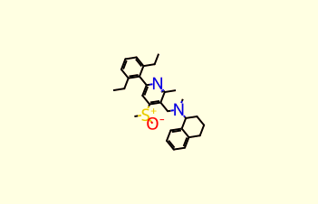 CCc1cccc(CC)c1-c1cc([S+](C)[O-])c(CN(C)C2CCCc3ccccc32)c(C)n1